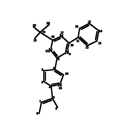 C/C=C(\C)c1ccc(-c2nc(-c3ccccc3)nc(C(C)(C)C)n2)cn1